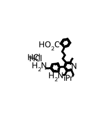 Cc1nc(CC(C)C)c(CN)c(-c2ccc(CN)cc2)c1CCCc1ccccc1C(=O)O.Cl.Cl